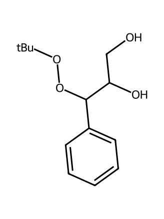 CC(C)(C)OOC(c1ccccc1)C(O)CO